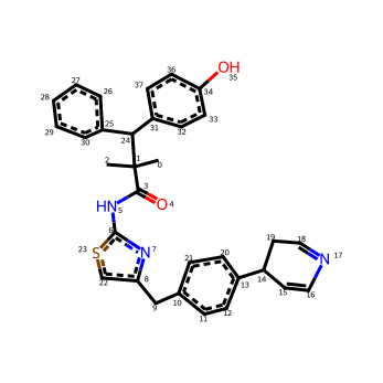 CC(C)(C(=O)Nc1nc(Cc2ccc(C3C=CN=CC3)cc2)cs1)C(c1ccccc1)c1ccc(O)cc1